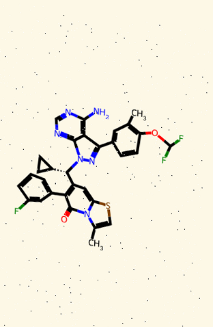 Cc1cc(-c2nn([C@H](c3cc4scc(C)n4c(=O)c3-c3cccc(F)c3)C3CC3)c3ncnc(N)c23)ccc1OC(F)F